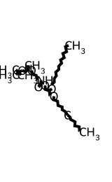 CCCCCCCCCCCCCCOCC(COC(=O)NCCCON(C)COC(C)(C)C)OCCCCCCCCCCCCCC